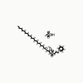 CCCCCCCCCCCCCCCCCCOCC(CS(=O)(=O)CCC[n+]1ccccc1)OC.CS(=O)(=O)O